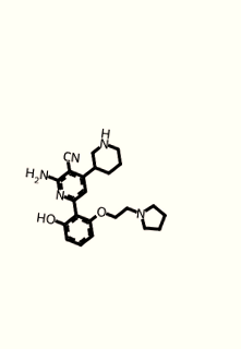 N#Cc1c(C2CCCNC2)cc(-c2c(O)cccc2OCCN2CCCC2)nc1N